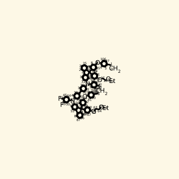 C=Cc1ccc(Oc2ccc(C3(c4ccc(OCCOCC)cc4)c4ccccc4-c4ccc(N(c5ccc(-c6ccc(N(c7ccc(F)c(F)c7)c7ccc8c(c7)C(c7ccc(OCCOCC)cc7)(c7ccc(Oc9ccc(C=C)cc9)cc7)c7ccccc7-8)cc6)cc5)c5ccc(F)c(F)c5)cc43)cc2)cc1